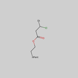 CCCCCCCOC(=O)CC(Cl)CC